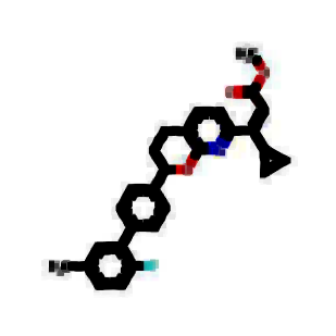 COC(=O)/C=C(\c1ccc2c(n1)OC(c1ccc(-c3cc(C)ccc3F)cc1)CC2)C1CC1